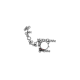 COC1=C(Cl)C2CC(=C1)CC(C)CCC[C@@H](OC)[C@@]1(O)C[C@H](OC(=O)N1)[C@@H](C)[C@@H]1O[C@@]1(C)[C@@H](OC(=O)[C@H](C)N(C)C(=O)CCOC(=O)N(C)CCN(C)C(=O)OC1/C=C/CC(OCC(=O)NCCN3C(=O)C=CC3=O)CCC1)CC(O)C2